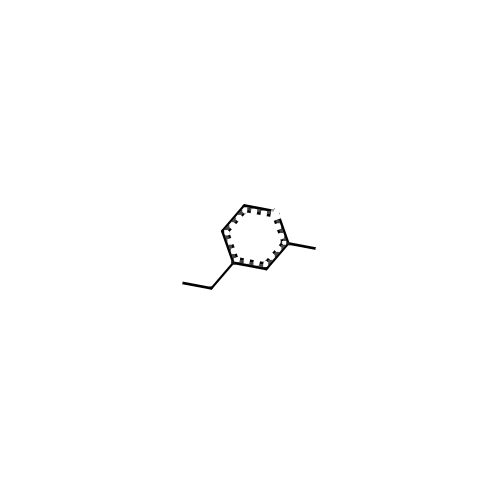 CC(C)Cc1ccnc(Cl)c1